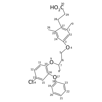 Cc1cc(OCCC(C)Oc2ccc(Cl)cc2Oc2ccccc2)cc(C)c1CCC(=O)O